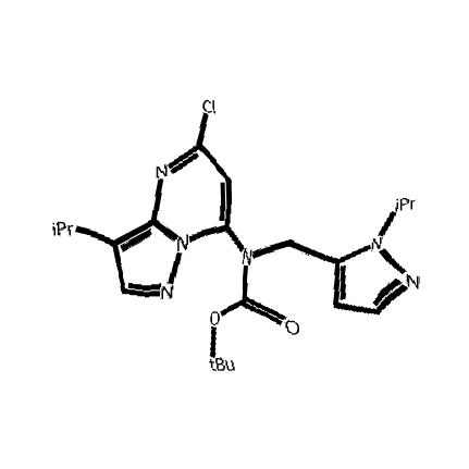 CC(C)c1cnn2c(N(Cc3ccnn3C(C)C)C(=O)OC(C)(C)C)cc(Cl)nc12